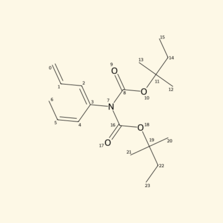 C=C/C=C(\C=C/C)N(C(=O)OC(C)(C)CC)C(=O)OC(C)(C)CC